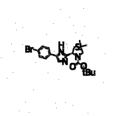 CC(C)(C)OC(=O)N1C[Si](C)(C)C[C@@H]1c1ncc(-c2ccc(Br)cc2)[nH]1